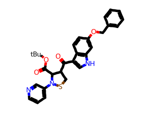 CC(C)(C)OC(=O)C1C(C(=O)c2c[nH]c3cc(OCc4ccccc4)ccc23)CSN1c1cccnc1